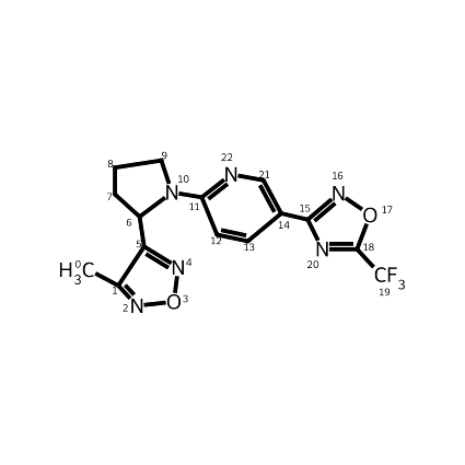 Cc1nonc1C1CCCN1c1ccc(-c2noc(C(F)(F)F)n2)cn1